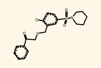 O=C(COCc1cc(S(=O)(=O)N2CCCCC2)ccc1Cl)c1ccccc1